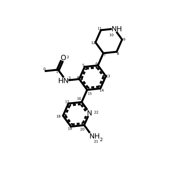 CC(=O)Nc1cc(C2CCNCC2)ccc1-c1cccc(N)n1